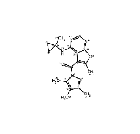 Cc1nn(C(=O)c2c(C)oc3ncnc(NC4(C)CC4)c23)c(C)c1C